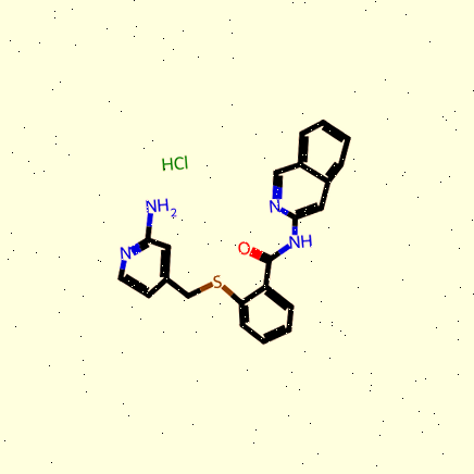 Cl.Nc1cc(CSc2ccccc2C(=O)Nc2cc3ccccc3cn2)ccn1